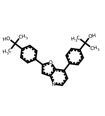 CC(C)(O)c1ccc(-c2cc3nccc(-c4ccc(C(C)(C)O)cc4)c3o2)cc1